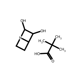 CC(C)(C)C(=O)O.OC1C(O)N2CCC12